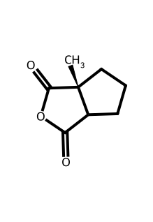 C[C@@]12CCCC1C(=O)OC2=O